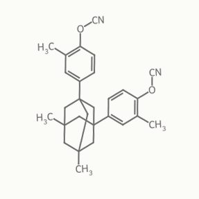 Cc1cc(C23CC4(C)CC(C)(C2)CC(c2ccc(OC#N)c(C)c2)(C4)C3)ccc1OC#N